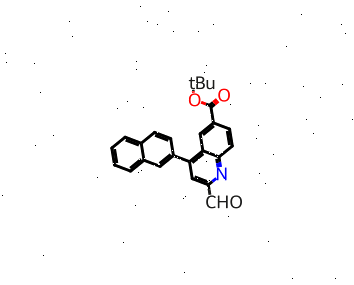 CC(C)(C)OC(=O)c1ccc2nc(C=O)cc(-c3ccc4ccccc4c3)c2c1